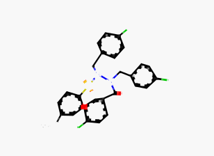 COc1ccc(S(=O)(=O)N(Cc2ccc(Cl)cc2)N(Cc2ccc(Cl)cc2)C(=O)c2ccc(Cl)cc2)cc1